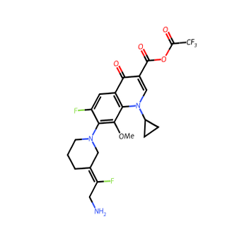 COc1c(N2CCC/C(=C(/F)CN)C2)c(F)cc2c(=O)c(C(=O)OC(=O)C(F)(F)F)cn(C3CC3)c12